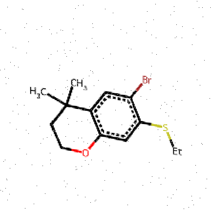 CCSc1cc2c(cc1Br)C(C)(C)CCO2